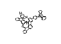 CC1(C)c2ccccc2-c2ccc(-n3c4ccc(-c5ccc(-n6c7ccccc7c7ccccc76)cc5)cc4c4ccc5c(c43)C(=C3CC3)c3ccccc3-5)cc21